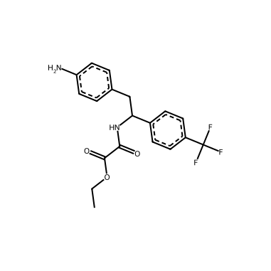 CCOC(=O)C(=O)NC(Cc1ccc(N)cc1)c1ccc(C(F)(F)F)cc1